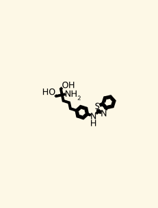 NC(CO)(CO)CCCc1ccc(Nc2nc3ccccc3s2)cc1